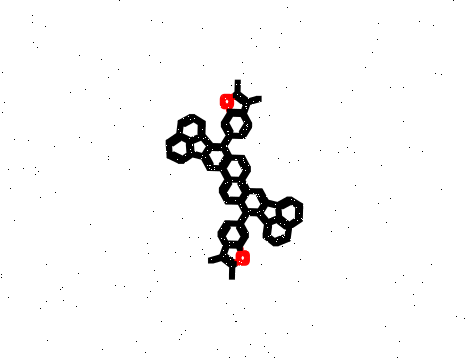 Cc1oc2cc(-c3c4c(cc5c3ccc3c6cc7c(c(-c8ccc9c(C)c(C)oc9c8)c6ccc53)-c3cccc5cccc-7c35)-c3cccc5cccc-4c35)ccc2c1C